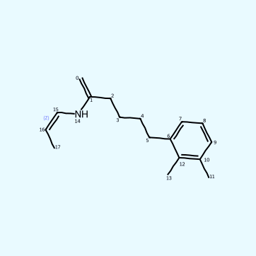 C=C(CCCCc1cccc(C)c1C)N/C=C\C